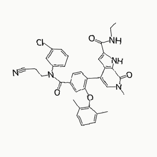 CCNC(=O)c1cc2c(-c3ccc(C(=O)N(CCC#N)c4cccc(Cl)c4)cc3Oc3c(C)cccc3C)cn(C)c(=O)c2[nH]1